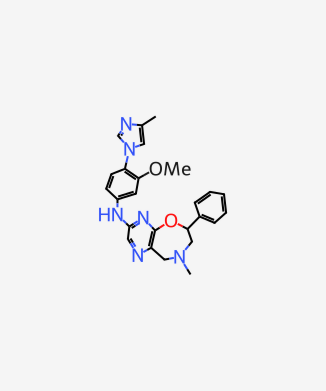 COc1cc(Nc2cnc3c(n2)OC(c2ccccc2)CN(C)C3)ccc1-n1cnc(C)c1